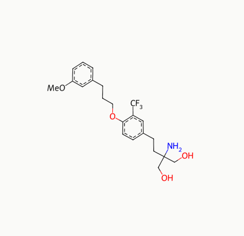 COc1cccc(CCCOc2ccc(CCC(N)(CO)CO)cc2C(F)(F)F)c1